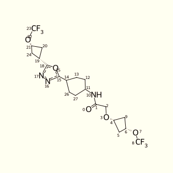 O=C(CO[C@H]1C[C@@H](OC(F)(F)F)C1)NC1CCC(c2nnc([C@H]3C[C@@H](OC(F)(F)F)C3)o2)CC1